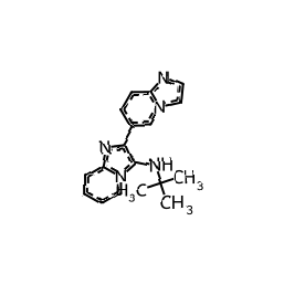 CC(C)(C)Nc1c(-c2ccc3nccn3c2)nc2ccccn12